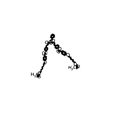 CC1(COCCCCCCOc2ccc(C(=O)Oc3ccc(CCC(=O)OCC(OC(=O)CCc4ccc(OC(=O)c5ccc(OCCCCCCOCC6(C)CO6)cc5)cc4)c4ccccc4)cc3)cc2)CO1